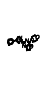 c1ccc(-c2cnn(-c3nc(N4CCOCC4)c4occc4n3)c2)cc1